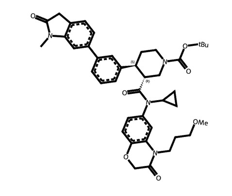 COCCCN1C(=O)COc2ccc(N(C(=O)[C@H]3CN(C(=O)OC(C)(C)C)CC[C@@H]3c3cccc(-c4ccc5c(c4)N(C)C(=O)C5)c3)C3CC3)cc21